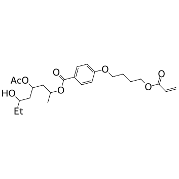 C=CC(=O)OCCCCOc1ccc(C(=O)OC(C)CC(CC(O)CC)OC(C)=O)cc1